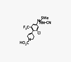 CS/C(=N/c1cc(Cl)c(C2=CCN(C(=O)O)CC2)c(C(F)(F)F)c1)NC#N